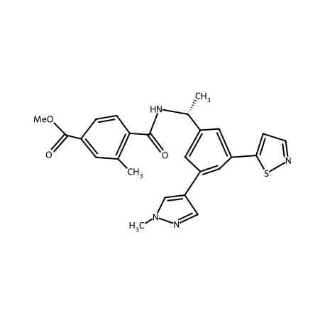 COC(=O)c1ccc(C(=O)N[C@H](C)c2cc(-c3cnn(C)c3)cc(-c3ccns3)c2)c(C)c1